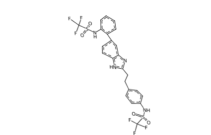 O=S(=O)(Nc1ccc(CCc2nc3cc(-c4ccccc4NS(=O)(=O)C(F)(F)F)ccc3[nH]2)cc1)C(F)(F)F